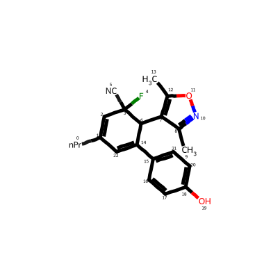 CCCC1=CC(F)(C#N)C(c2c(C)noc2C)C(c2ccc(O)cc2)=C1